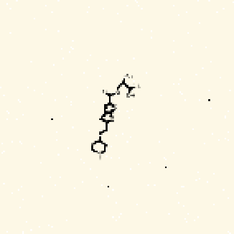 C=C(O)C(CNC(=O)c1cc2cc(CCC3CCNCC3)sc2s1)C(C)(C)C